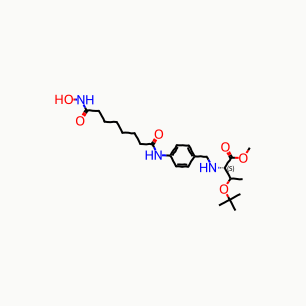 COC(=O)[C@@H](NCc1ccc(NC(=O)CCCCCCC(=O)NO)cc1)C(C)OC(C)(C)C